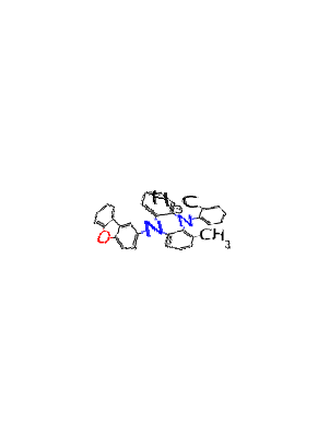 Cc1ccccc1N1c2ccccc2N(c2ccc3oc4ccccc4c3c2)c2cccc(C)c21